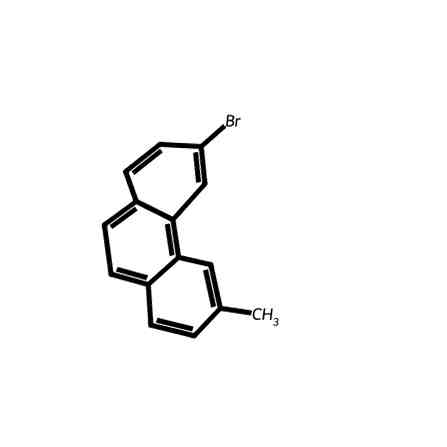 Cc1ccc2ccc3ccc(Br)cc3c2c1